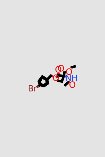 CCOC(=O)C(CC)(NC(C)=O)C(=O)OCc1ccc(Br)cc1